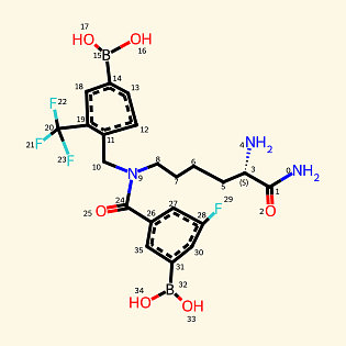 NC(=O)[C@@H](N)CCCCN(Cc1ccc(B(O)O)cc1C(F)(F)F)C(=O)c1cc(F)cc(B(O)O)c1